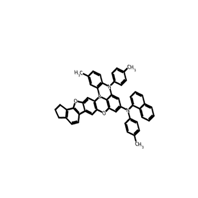 Cc1ccc(N2c3ccc(C)cc3B3c4cc5oc6c7c(ccc6c5cc4Oc4cc(N(c5ccc(C)cc5)c5cccc6ccccc56)cc2c43)CCC7)cc1